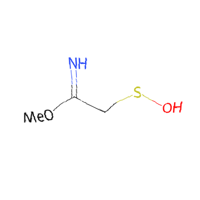 COC(=N)CSO